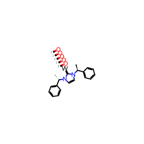 C[C@@H](c1ccccc1)n1ccn([C@@H](C)c2ccccc2)[c]1=[W].[C]=O.[C]=O.[C]=O.[C]=O.[C]=O